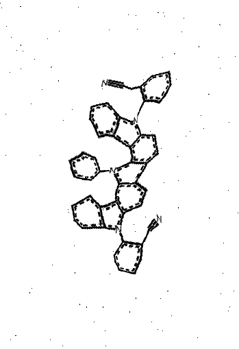 N#Cc1ccccc1-n1c2ccccc2c2c1ccc1c3ccc4c(c5ccccc5n4-c4ccccc4C#N)c3n(-c3ccccc3)c12